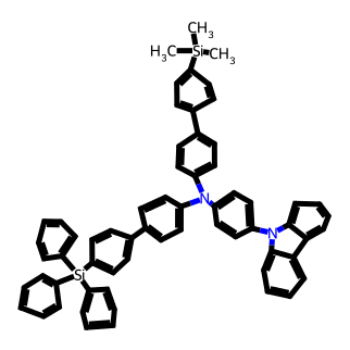 C[Si](C)(C)c1ccc(-c2ccc(N(c3ccc(-c4ccc([Si](c5ccccc5)(c5ccccc5)c5ccccc5)cc4)cc3)c3ccc(-n4c5ccccc5c5ccccc54)cc3)cc2)cc1